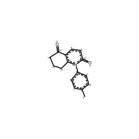 Cc1ccc(-n2c3c(ccc2=O)C(=O)CCC3)cc1